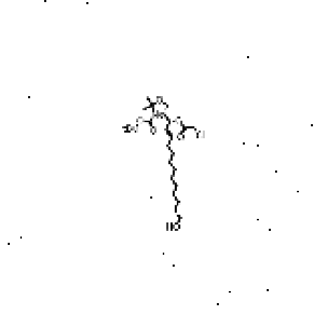 CC(C)(C)OC(=O)N1[C@H]([C@@H](C=CCCCCCCCCCCO)OC(=O)CCl)COC1(C)C